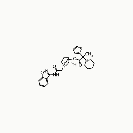 CC(C(=O)O[C@H]1C[N+]2(CC(=O)Nc3noc4ccccc34)CCC1CC2)(c1cccs1)N1CCCCC1